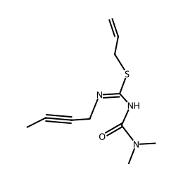 C=CCSC(=NCC#CC)NC(=O)N(C)C